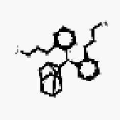 CCCCc1ccccc1P(c1ccccc1CCCC)C1C2CC3CC(C2)CC1C3